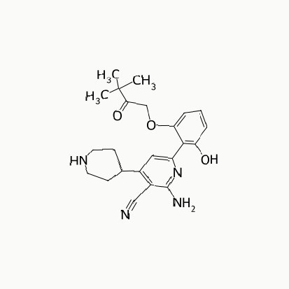 CC(C)(C)C(=O)COc1cccc(O)c1-c1cc(C2CCNCC2)c(C#N)c(N)n1